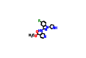 COC(=O)c1ccncc1Nc1nn(C2CCNC2)c2ccc(F)cc12